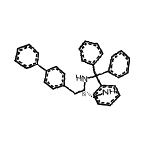 NC[C@H](Cc1ccc(-c2ccccc2)cc1)NC(c1ccccc1)(c1ccccc1)c1ccccc1